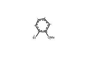 C[CH]c1ccccc1OC